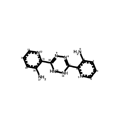 Nc1cccnc1C1=NN=C(c2ncccc2N)NN1